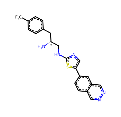 N[C@@H](CNc1ncc(-c2ccc3cnncc3c2)s1)Cc1ccc(C(F)(F)F)cc1